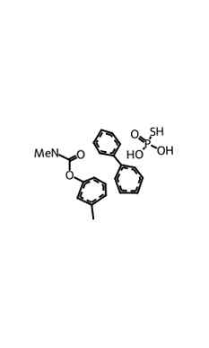 CNC(=O)Oc1cccc(C)c1.O=P(O)(O)S.c1ccc(-c2ccccc2)cc1